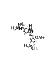 COc1cc(CN(C)C)ccc1/C=C/c1n[nH]c2cc(-c3ccnc(N)n3)ccc12